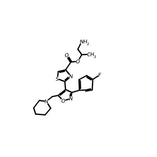 CC(CN)OC(=O)c1csc(-c2c(-c3ccc(F)cc3)noc2CN2CCCCC2)n1